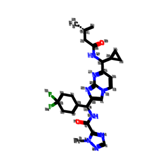 CC(C)n1ncnc1C(=O)N[C@H](c1cn2ccc(C(NC(=O)C[C@@H](C)C(F)(F)F)C3CC3)nc2n1)C1CCC(F)(F)CC1